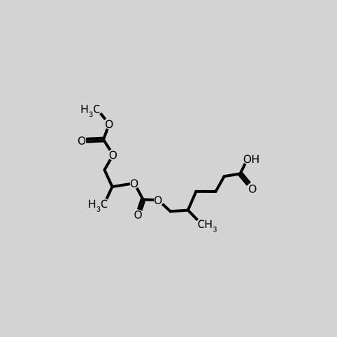 COC(=O)OCC(C)OC(=O)OCC(C)CCCC(=O)O